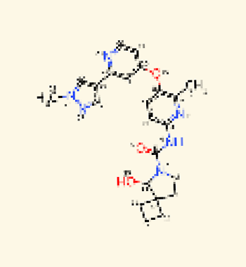 Cc1nc(NC(=O)N2CCC3(CCC3)C2O)ccc1Oc1ccnc(-c2cnn(C)c2)c1